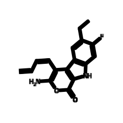 C=C/C=C\c1c(N)oc(=O)c2[nH]c3cc(F)c(CC)cc3c12